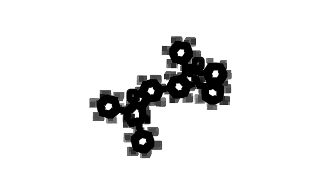 O=P1(c2ccccc2)N(c2ccccc2)c2ccc(-c3ccc4oc5c(-c6ccccc6)nc(-c6ccccc6)nc5c4c3)cc2N1c1ccccc1